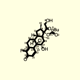 CCCCC(=O)O[C@@]1(C(=O)CO)[C@H](C)C[C@H]2[C@@H]3CCC4=C(F)C(=O)C=C[C@]4(C)[C@@]3(Cl)[C@@H](O)C[C@@]21C